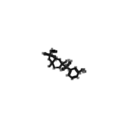 COS(=O)(=O)CC1(C)CCC(F)(S(=O)(=O)c2cccc(C(F)(F)F)c2)CC1